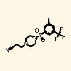 Cc1cc(C(F)(F)F)cc(S(=O)(=O)N2CCN(CCC#N)CC2)c1